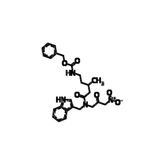 CC(CCNC(=O)OCc1ccccc1)CC(=O)N(CC(=O)C[N+](=O)[O-])Cc1c[nH]c2ccccc12